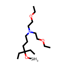 CCOCCN(CCCC(CC)(CC)O[SiH3])CCOCC